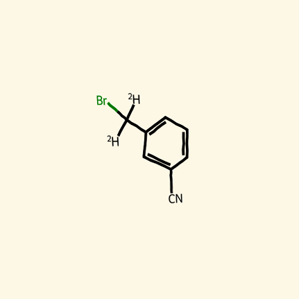 [2H]C([2H])(Br)c1cccc(C#N)c1